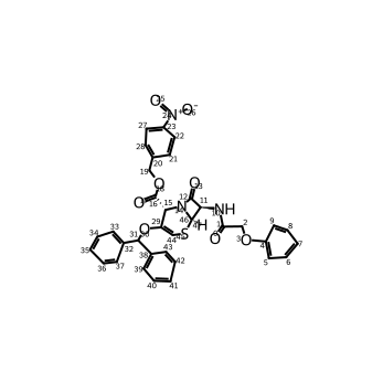 O=C(COc1ccccc1)N[C@@H]1C(=O)N2[C@@H](C(=O)OCc3ccc([N+](=O)[O-])cc3)C(OC(c3ccccc3)c3ccccc3)=CS[C@H]12